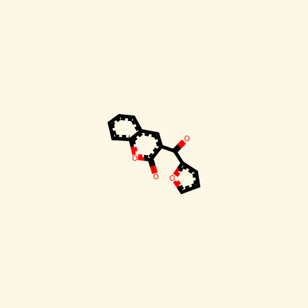 O=C(c1ccco1)c1cc2ccccc2oc1=O